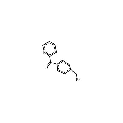 O=C(c1ccc(CBr)cc1)c1ccccn1